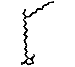 CCCCCCCCCC(CC)SCCCCCCCCCCN1C(=O)CCC1=O